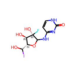 O=c1nc(NC2O[C@H](C(O)I)[C@@H](O)[C@@]2(O)F)cc[nH]1